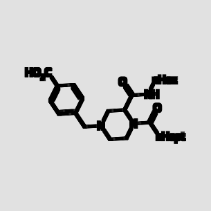 CCCCCCCC(=O)N1CCN(Cc2ccc(C(=O)O)cc2)CC1C(=O)NCCCCCC